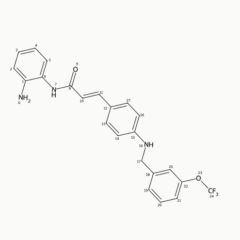 Nc1ccccc1NC(=O)C=Cc1ccc(NCc2cccc(OC(F)(F)F)c2)cc1